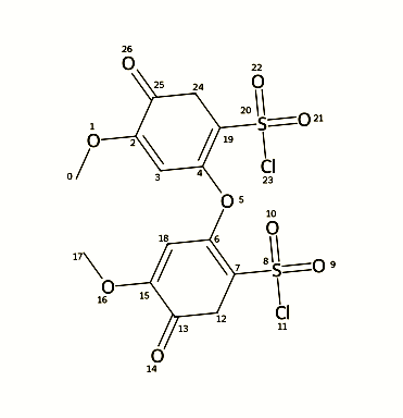 COC1=CC(OC2=C(S(=O)(=O)Cl)CC(=O)C(OC)=C2)=C(S(=O)(=O)Cl)CC1=O